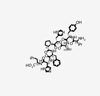 CC[C@H](C)[C@H](NC(=O)[C@H](Cc1ccc(O)cc1)NC(=O)[C@@H](N)C(C)C)C(=O)O[C@@H](Cc1cnc[nH]1)C(=O)N1CCC[C@H]1C(=O)N[C@@H](Cc1ccccc1)C(=O)N[C@@H](C(=O)N[C@@H](CC(C)C)C(=O)O)c1cnc[nH]1